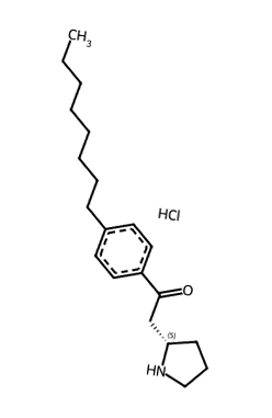 CCCCCCCCc1ccc(C(=O)C[C@@H]2CCCN2)cc1.Cl